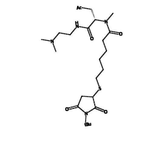 CC(=O)C[C@@H](C(=O)NCCN(C)C)N(C)C(=O)CCCCCSC1CC(=O)N(C(C)(C)C)C1=O